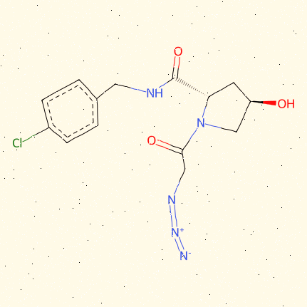 [N-]=[N+]=NCC(=O)N1C[C@H](O)C[C@H]1C(=O)NCc1ccc(Cl)cc1